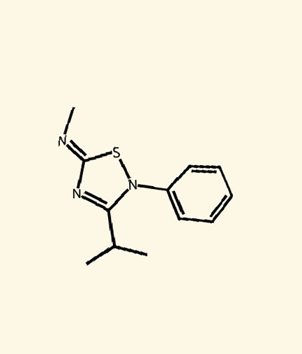 CN=c1nc(C(C)C)n(-c2ccccc2)s1